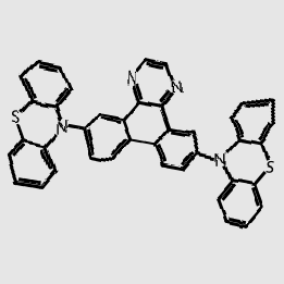 c1ccc2c(c1)Sc1ccccc1N2c1ccc2c3ccc(N4c5ccccc5Sc5ccccc54)cc3c3nccnc3c2c1